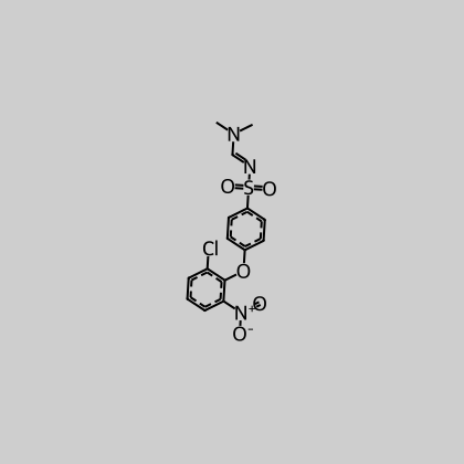 CN(C)C=NS(=O)(=O)c1ccc(Oc2c(Cl)cccc2[N+](=O)[O-])cc1